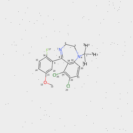 [3H]C([3H])([3H])N1CCN=C(c2cc(OC)ccc2F)c2c1ccc(Cl)c2Cl